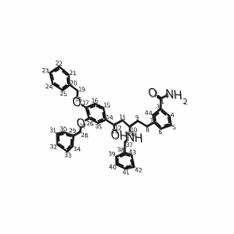 NC(=O)c1cccc(CCC(CC(O)c2ccc(OCc3ccccc3)c(OCc3ccccc3)c2)NCc2ccccc2)c1